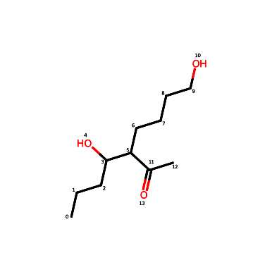 CCCC(O)C(CCCCO)C(C)=O